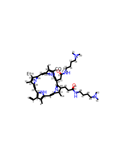 C=Cc1c(C)c2cc3nc(c(CC(=O)NCCCCN(C)C)c4[nH]c(cc5nc(cc1[nH]2)C(C)=C5CC)c(C)c4C(=O)O)C(CCC(=O)NCCCCN(C)C)C3C